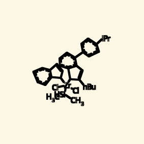 CCCCC1=Cc2c(-c3ccc(C(C)C)cc3)cccc2[CH]1[Zr]([Cl])([Cl])([CH]1C=Cc2ccccc21)[SiH](C)C